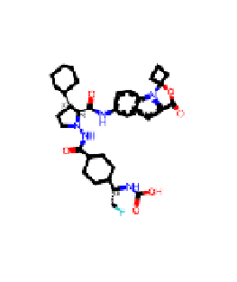 O=C(O)N[C@H](CF)C1CCC(C(=O)NN2CC[C@@H](C3CCCCC3)[C@H]2C(=O)Nc2ccc3c(c2)cc2n3C3(CCC3)OC2=O)CC1